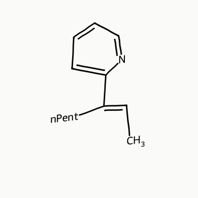 CC=C(CCCCC)c1ccccn1